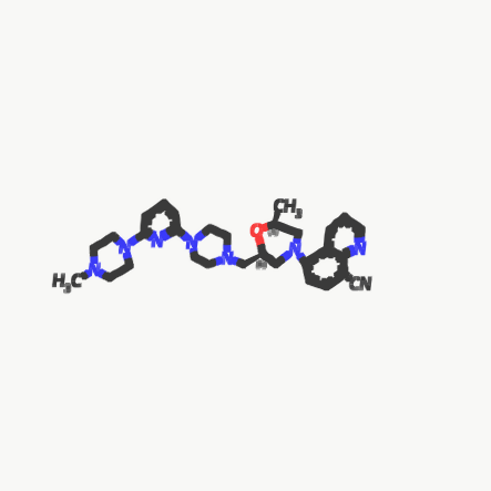 C[C@H]1CN(c2ccc(C#N)c3ncccc23)C[C@@H](CN2CCN(c3cccc(N4CCN(C)CC4)n3)CC2)O1